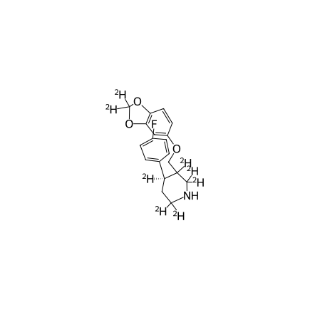 [2H]C1([2H])C[C@@]([2H])(c2ccc(F)cc2)C([2H])(COc2ccc3c(c2)OC([2H])([2H])O3)C([2H])([2H])N1